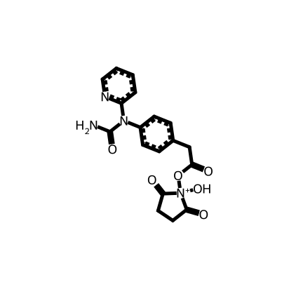 NC(=O)N(c1ccc(CC(=O)O[N+]2(O)C(=O)CCC2=O)cc1)c1ccccn1